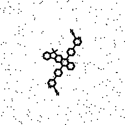 CC1(C)c2ccccc2-c2cc3c(-c4ccc(-c5ccnc(C#N)c5)cc4)c4ccccc4c(-c4ccc(-c5ccnc(C#N)c5)cc4)c3cc21